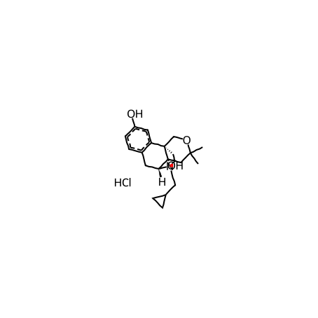 CC1(C)C[C@@]2(O)[C@H]3Cc4ccc(O)cc4[C@@]2(CCN3CC2CC2)CO1.Cl